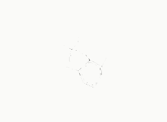 Cc1cccc(I)c1OC(F)(F)F